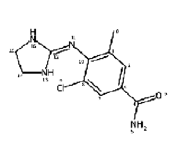 Cc1cc(C(N)=O)cc(Cl)c1N=C1NCCN1